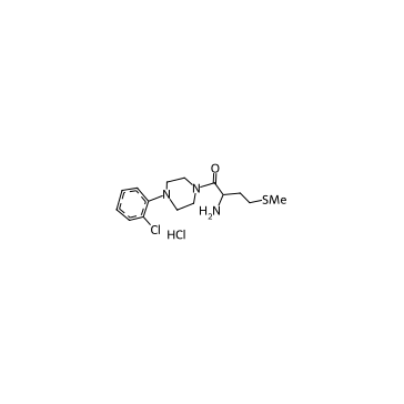 CSCCC(N)C(=O)N1CCN(c2ccccc2Cl)CC1.Cl